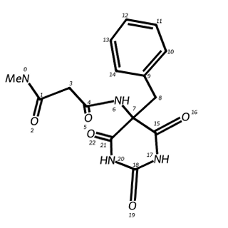 CNC(=O)CC(=O)NC1(Cc2ccccc2)C(=O)NC(=O)NC1=O